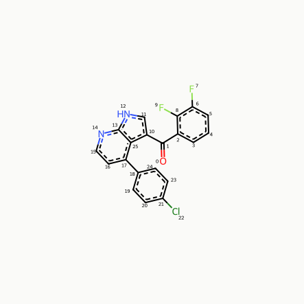 O=C(c1cccc(F)c1F)c1c[nH]c2nccc(-c3ccc(Cl)cc3)c12